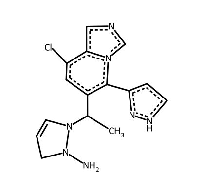 CC(c1cc(Cl)c2cncn2c1-c1cc[nH]n1)N1C=CCN1N